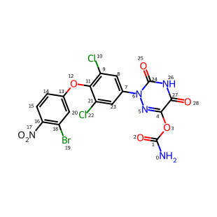 NC(=O)Oc1nn(-c2cc(Cl)c(Oc3ccc([N+](=O)[O-])c(Br)c3)c(Cl)c2)c(=O)[nH]c1=O